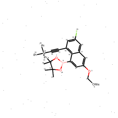 COCOc1cc(B2OC(C)(C)C(C)(C)O2)c2c(C#C[Si](C(C)C)(C(C)C)C(C)C)cc(F)cc2c1